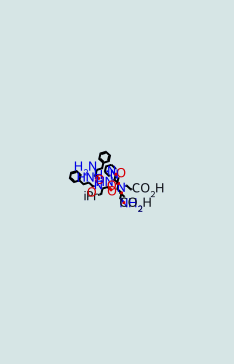 CC(C)CC(NC(=O)C(Cc1ccccc1)NC(=O)C(N)Cc1ccccc1)C(=O)NC(CCCCN)C(=O)N1C2CC1CN(CC(=O)N(CCC(=O)O)CCC(=O)O)C2